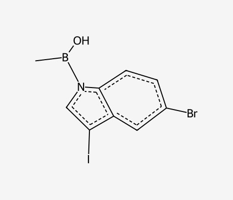 CB(O)n1cc(I)c2cc(Br)ccc21